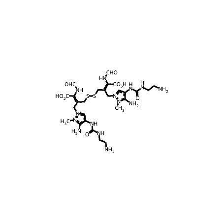 Cn1c(N)c(NC(=O)NCCN)c[n+]1C/C(CSSC/C(C[n+]1cc(NC(=O)NCCN)c(N)n1C)=C(\NC=O)C(=O)O)=C(/NC=O)C(=O)O